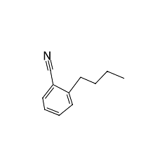 CCCCc1ccccc1C#N